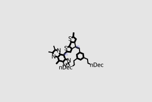 C=c1cc2c(s1)=c1s/c(=c3/c4nsnc4c(=C)c4nc(C)c(C)nc34)cc1/C2=C\c1cc(CCCCCCCCCCCC)cc(CCCCCCCCCCCC)c1